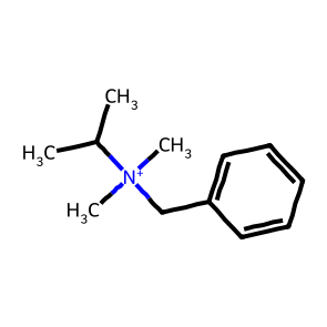 CC(C)[N+](C)(C)Cc1ccccc1